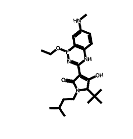 CCOP1N=C(C2=C(O)C(C(C)(C)C)N(CCC(C)C)C2=O)Nc2ccc(NC)cc21